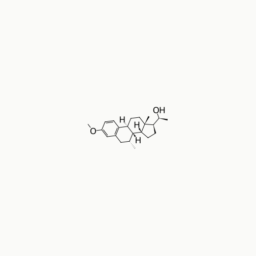 COc1ccc2c(c1)C[C@@H](C)[C@@H]1[C@@H]2CC[C@@]2(C)[C@@H]1CC[C@@H]2[C@H](C)O